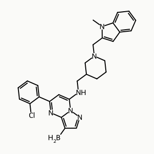 Bc1cnn2c(NCC3CCCN(Cc4cc5ccccc5n4C)C3)cc(-c3ccccc3Cl)nc12